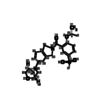 C[C@H](Oc1ccc(S(C)(=O)=O)cc1C(=O)N1Cc2ccc(N3C[C@H]4C[C@H]3CO4)cc2C1)C(F)(F)F